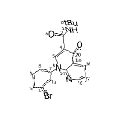 CC(C)(C)NC(=O)c1cn(-c2cccc(Br)c2)c2ncccc2c1=O